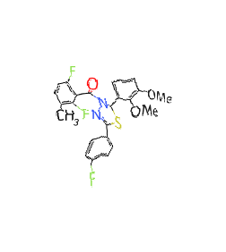 COc1cccc(C2SC(c3ccc(F)cc3)=NN2C(=O)c2c(F)ccc(C)c2F)c1OC